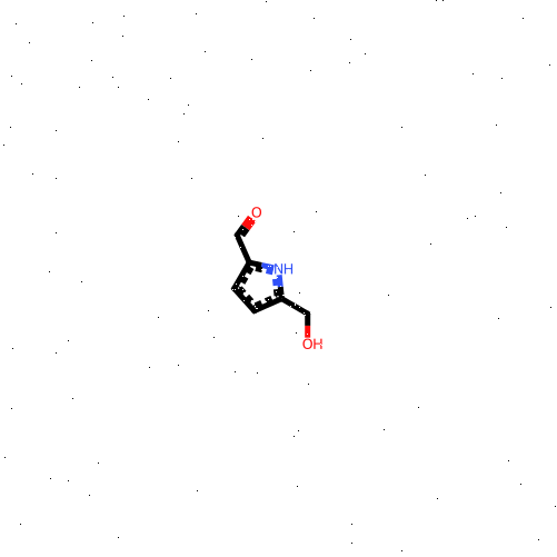 O=Cc1ccc(CO)[nH]1